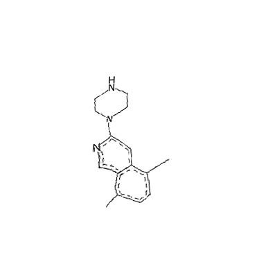 Cc1ccc(C)c2cc(N3CCNCC3)ncc12